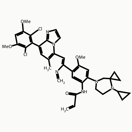 C=CC(=O)Nc1cc(/C(=C/c2c(C)cc(-c3c(Cl)c(OC)cc(OC)c3Cl)c3nccn23)N=C)c(OC)cc1N1CCN(C2CC2)C2(CC2)C1